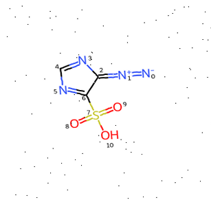 [N-]=[N+]=C1N=CN=C1S(=O)(=O)O